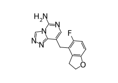 Nc1ncc(Cc2c(F)ccc3c2CCO3)c2nncn12